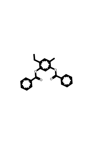 CCc1cc(C)c(OC(=O)c2ccccc2)cc1OC(=O)c1ccccc1